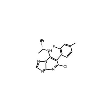 Cc1ccc(-c2c(Cl)nc3ncnn3c2N[C@H](C)C(C)C)c(F)c1